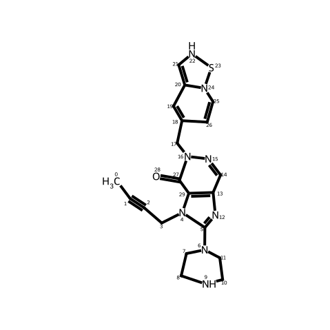 CC#CCn1c(N2CCNCC2)nc2cnn(CC3=CC4=CNSN4C=C3)c(=O)c21